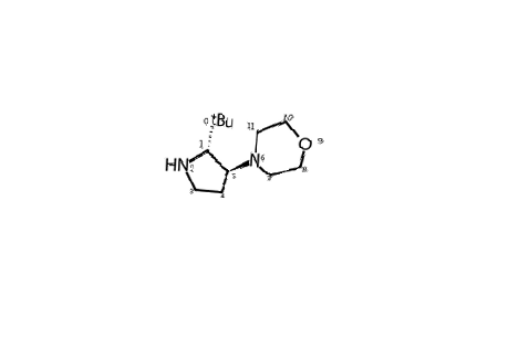 CC(C)(C)[C@H]1NCC[C@@H]1N1CCOCC1